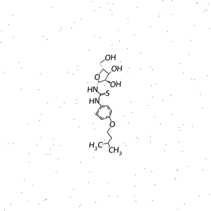 CC(C)CCOc1ccc(NC(=S)N[C@@H]2O[C@H](CO)C(O)[C@H]2O)cc1